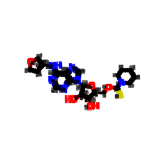 O[C@@H]1[C@H](O)[C@@H](COC(=S)N2CCCCC2)O[C@H]1n1cnc2c(N[C@@H]3CCOC3)ncnc21